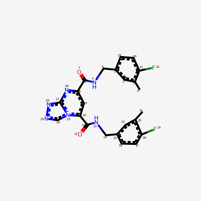 Cc1cc(CNC(=O)c2cc(C(=O)NCc3ccc(F)c(C)c3)n3cnnc3n2)ccc1F